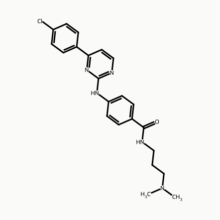 CN(C)CCCNC(=O)c1ccc(Nc2nccc(-c3ccc(Cl)cc3)n2)cc1